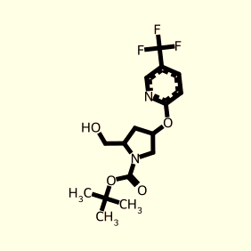 CC(C)(C)OC(=O)N1CC(Oc2ccc(C(F)(F)F)cn2)CC1CO